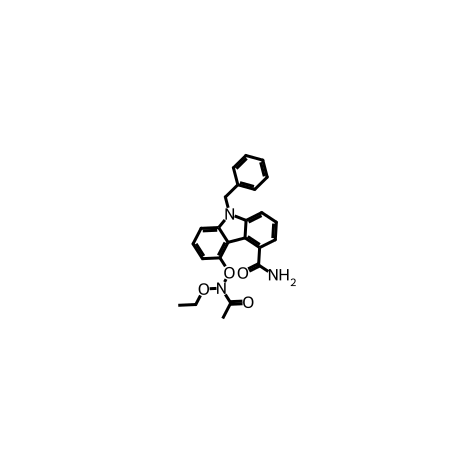 CCON(Oc1cccc2c1c1c(C(N)=O)cccc1n2Cc1ccccc1)C(C)=O